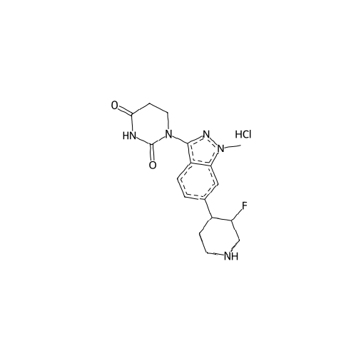 Cl.Cn1nc(N2CCC(=O)NC2=O)c2ccc(C3CCNCC3F)cc21